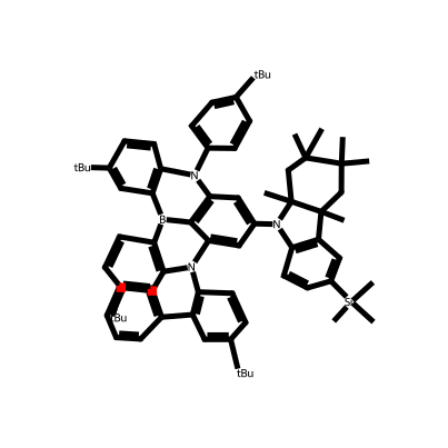 CC(C)(C)c1ccc(N2c3ccc(C(C)(C)C)cc3B3c4ccc(C(C)(C)C)cc4N(c4ccc(C(C)(C)C)cc4-c4ccccc4)c4cc(N5c6ccc([Si](C)(C)C)cc6C6(C)CC(C)(C)C(C)(C)CC56C)cc2c43)cc1